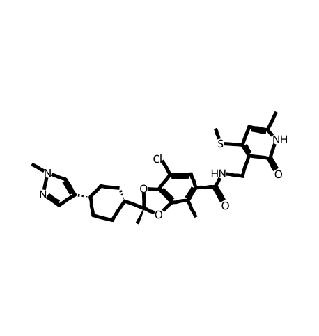 CSc1cc(C)[nH]c(=O)c1CNC(=O)c1cc(Cl)c2c(c1C)O[C@](C)([C@H]1CC[C@@H](c3cnn(C)c3)CC1)O2